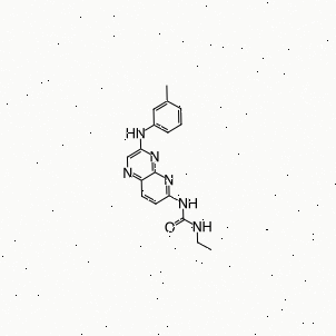 CCNC(=O)Nc1ccc2ncc(Nc3cccc(C)c3)nc2n1